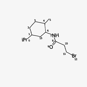 CC(C)C1CCC(C)C(NC(=O)CCBr)C1